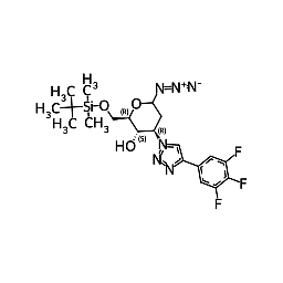 CC(C)(C)[Si](C)(C)OC[C@H]1OC(N=[N+]=[N-])C[C@@H](n2cc(-c3cc(F)c(F)c(F)c3)nn2)[C@@H]1O